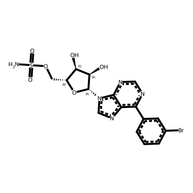 NS(=O)(=O)OC[C@H]1O[C@@H](n2cnc3c(-c4cccc(Br)c4)ncnc32)[C@H](O)[C@@H]1O